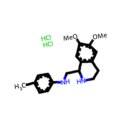 COc1cc2c(cc1OC)C(CNc1ccc(C)cc1)NCC2.Cl.Cl